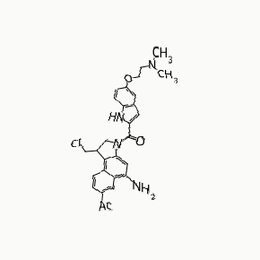 CC(=O)c1ccc2c3c(cc(N)c2c1)N(C(=O)c1cc2cc(OCCN(C)C)ccc2[nH]1)CC3CCl